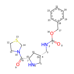 O=C(NC[C@@H]1CN[C@H](C(=O)N2CCSC2)C1)OCc1ccccc1